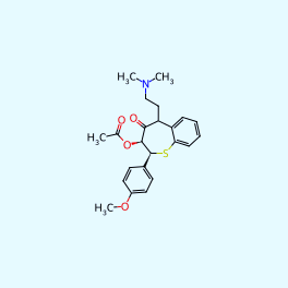 COc1ccc([C@@H]2Sc3ccccc3C(CCN(C)C)C(=O)[C@@H]2OC(C)=O)cc1